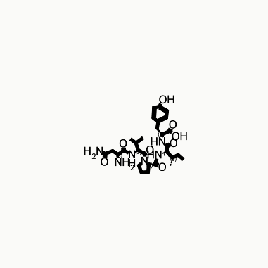 CC[C@H](C)[C@H](NC(=O)[C@@H]1CCCN1C(=O)[C@@H](NC(=O)[C@@H](N)CC(N)=O)C(C)C)C(=O)N[C@@H](Cc1ccc(O)cc1)C(=O)O